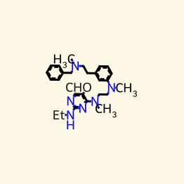 CCNc1ncc(C=O)c(N(C)CCN(C)c2cccc(CCN(C)Cc3ccccc3)c2)n1